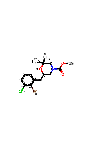 CC(C)(C)OC(=O)N1CC(Cc2cccc(Cl)c2Br)OC(C)(C)C1